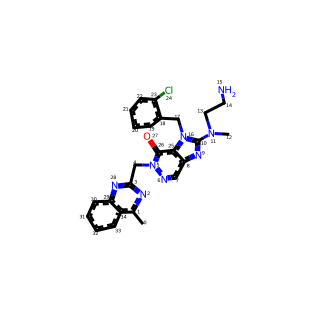 Cc1nc(Cn2ncc3nc(N(C)CCN)n(Cc4ccccc4Cl)c3c2=O)nc2ccccc12